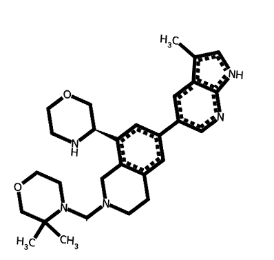 Cc1c[nH]c2ncc(-c3cc4c(c([C@@H]5COCCN5)c3)CN([CH]N3CCOCC3(C)C)CC4)cc12